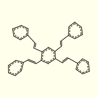 [c]1c(/C=C/c2ccccc2)c(/C=C/c2ccccc2)cc(/C=C/c2ccccc2)c1/C=C/c1ccccc1